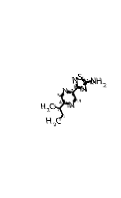 CCC(C)c1cnc(-c2nsc(N)n2)cn1